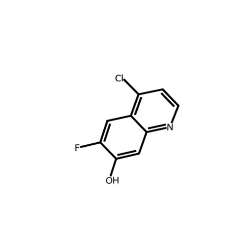 Oc1cc2nccc(Cl)c2cc1F